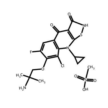 CC(C)(N)COc1c(F)cc2c(=O)c3c(=O)[nH]sc3n(C3CC3)c2c1Cl.CS(=O)(=O)O